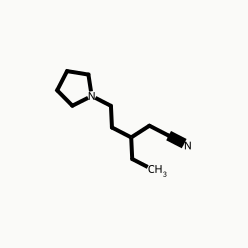 CCC(CC#N)CCN1CCCC1